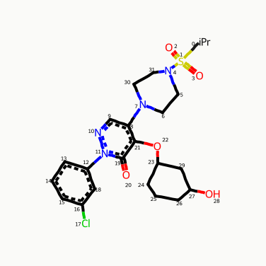 CC(C)S(=O)(=O)N1CCN(c2cnn(-c3cccc(Cl)c3)c(=O)c2OC2CCCC(O)C2)CC1